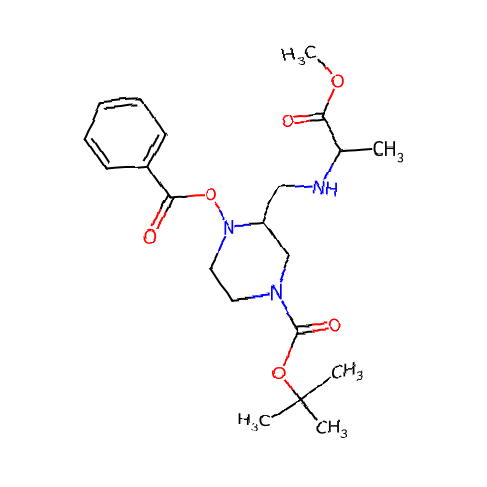 COC(=O)C(C)NCC1CN(C(=O)OC(C)(C)C)CCN1OC(=O)c1ccccc1